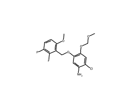 COCOc1cc(Cl)c(N)cc1OCc1c(OC)ccc(F)c1F